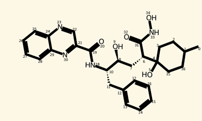 CC1CCC(O)([C@H](C[C@H](O)[C@H](Cc2ccccc2)NC(=O)c2cnc3ccccc3n2)C(=O)NO)CC1